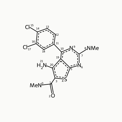 CNC(=O)c1sc2nc(NC)nc(-c3ccc(Cl)c(Cl)c3)c2c1N